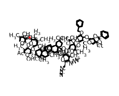 CCC1O[C@@H](OC2[C@H](O[C@H]3CCC4(C)C5CC=C6C7CC(C)(C)CC[C@]7(C(=O)O[C@@H]7O[C@H](CN=[N+]=[N-])[C@H](N=[N+]=[N-])C(C)C7O[C@@H]7O[C@H](C)[C@H](O[C@@H]8OC[C@@H](OCc9ccccc9)C(O[C@@H]9OC[C@]%10(CC)O[C@@H](c%11ccccc%11)OC9%10)C8C)C8OC(C)(C)OC87)C(OC)C[C@@]6(C)[C@@]5(C)CC[C@H]4[C@@]3(C)C=O)OC(C(C)=O)[C@@H](C)[C@@H]2O[C@@H]2OC[C@@H](C)[C@H](C)C2C)C(C)[C@@H](C)[C@H]1C